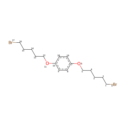 BrCCCCCOc1ccc(OCCCCCBr)cc1